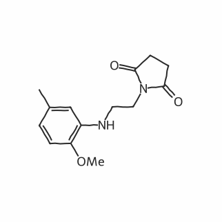 COc1ccc(C)cc1NCCN1C(=O)CCC1=O